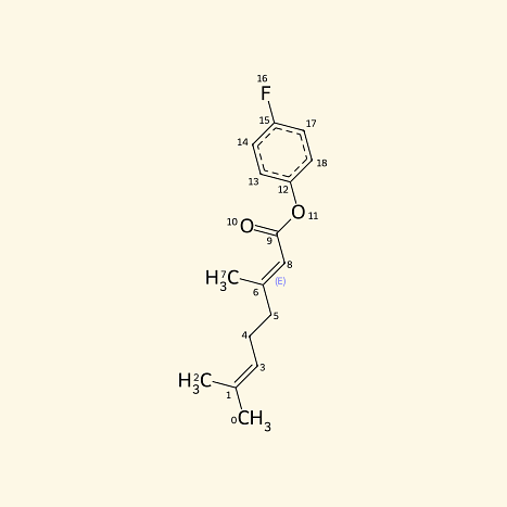 CC(C)=CCC/C(C)=C/C(=O)Oc1ccc(F)cc1